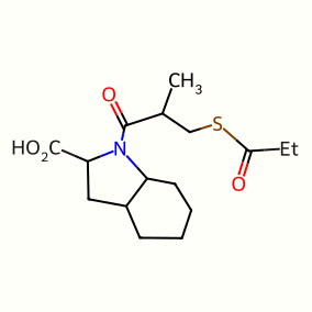 CCC(=O)SCC(C)C(=O)N1C(C(=O)O)CC2CCCCC21